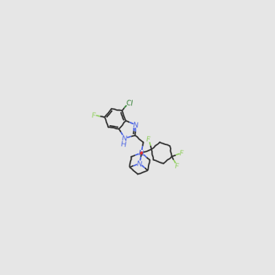 Fc1cc(Cl)c2nc(CN3CC4CC(C3)N4CC3(F)CCC(F)(F)CC3)[nH]c2c1